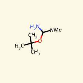 CNC(N)OC(C)(C)C